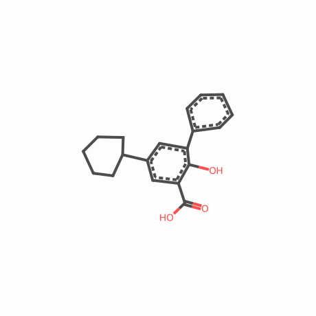 O=C(O)c1cc(C2CCCCC2)cc(-c2ccccc2)c1O